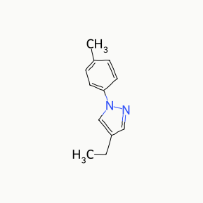 CCc1cnn(-c2ccc(C)cc2)c1